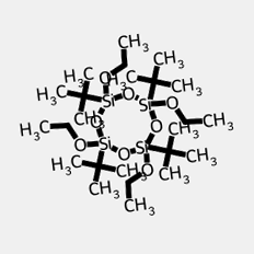 CCO[Si]1(C(C)(C)C)O[Si](OCC)(C(C)(C)C)O[Si](OCC)(C(C)(C)C)O[Si](OCC)(C(C)(C)C)O1